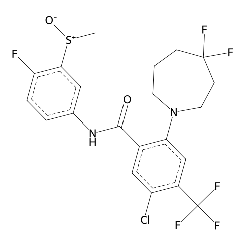 C[S+]([O-])c1cc(NC(=O)c2cc(Cl)c(C(F)(F)F)cc2N2CCCC(F)(F)CC2)ccc1F